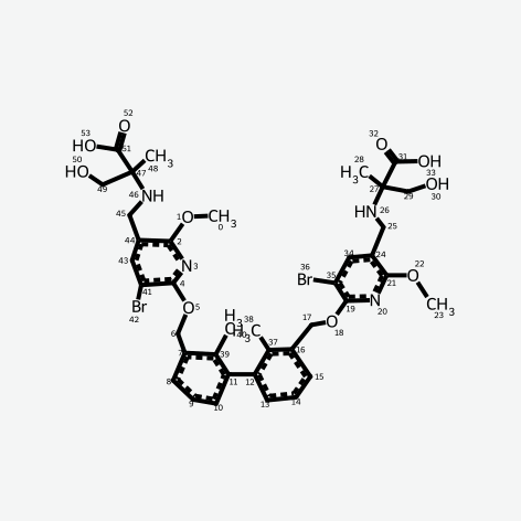 COc1nc(OCc2cccc(-c3cccc(COc4nc(OC)c(CNC(C)(CO)C(=O)O)cc4Br)c3C)c2C)c(Br)cc1CNC(C)(CO)C(=O)O